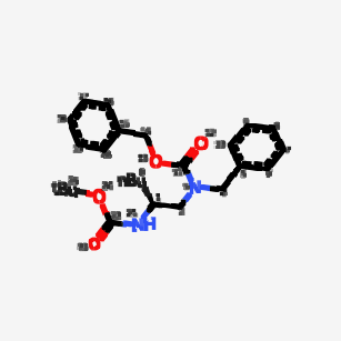 CCCC[C@@H](CN(Cc1ccccc1)C(=O)OCc1ccccc1)NC(=O)OC(C)(C)C